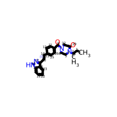 CCC(C)N1CCN(C(=O)c2ccc(/C=C/c3n[nH]c4ccccc34)cc2)CC1=O